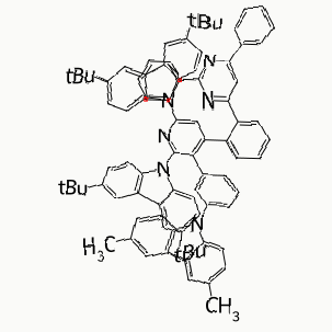 Cc1ccc2c(c1)c1cc(C)ccc1n2-c1cccc(-c2c(-c3ccccc3-c3cc(-c4ccccc4)nc(-c4ccccc4)n3)cc(-n3c4ccc(C(C)(C)C)cc4c4cc(C(C)(C)C)ccc43)nc2-n2c3ccc(C(C)(C)C)cc3c3cc(C(C)(C)C)ccc32)c1